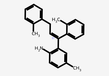 Cc1ccc(N)c(/C(=C/Cc2ccccc2C)c2ccccc2C)c1